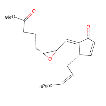 CCCCC/C=C\C[C@H]1C=CC(=O)/C1=C/C1O[C@@H]1CCCC(=O)OC